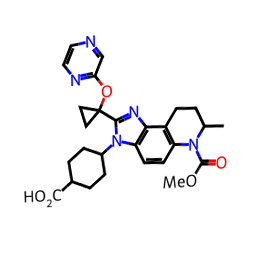 COC(=O)N1c2ccc3c(nc(C4(Oc5cnccn5)CC4)n3C3CCC(C(=O)O)CC3)c2CCC1C